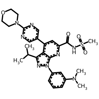 CC(C)c1nn(-c2cccc(N(C)C)c2)c2nc(C(=O)NS(C)(=O)=O)cc(-c3cnc(N4CCOCC4)nc3)c12